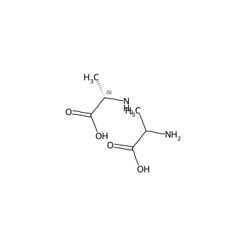 CC(N)C(=O)O.C[C@H](N)C(=O)O